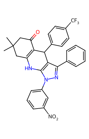 CC1(C)CC(=O)C2=C(C1)Nc1c(c(-c3ccccc3)nn1-c1cccc([N+](=O)[O-])c1)C2c1ccc(C(F)(F)F)cc1